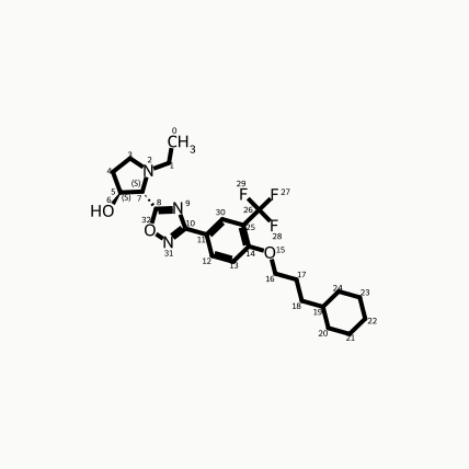 CCN1CC[C@H](O)[C@H]1c1nc(-c2ccc(OCCCC3CCCCC3)c(C(F)(F)F)c2)no1